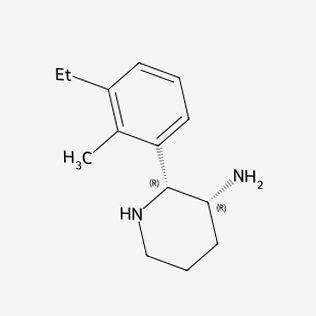 CCc1cccc([C@H]2NCCC[C@H]2N)c1C